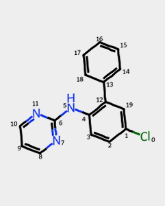 Clc1ccc(Nc2ncccn2)c(-c2ccccc2)c1